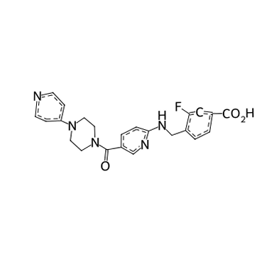 O=C(O)c1ccc(CNc2ccc(C(=O)N3CCN(c4ccncc4)CC3)cn2)c(F)c1